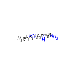 CCCCCNCCCCNCCCN